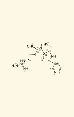 CC(C)C[C@H](NCc1cccnc1)C(=O)N[C@H](C=O)CCCNC(=N)N